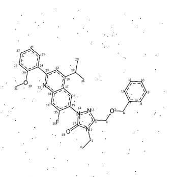 CCn1c(COCc2ccccc2)nn(-c2cc3c(C(C)C)cc(-c4ccccc4OC)nc3cc2F)c1=O